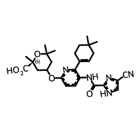 CC1(C)CC=C(c2nc(OC3CC(C)(C)O[C@](C)(C(=O)O)C3)ccc2NC(=O)c2nc(C#N)c[nH]2)CC1